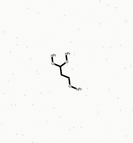 CCCOCCC(OCCC)OCCC